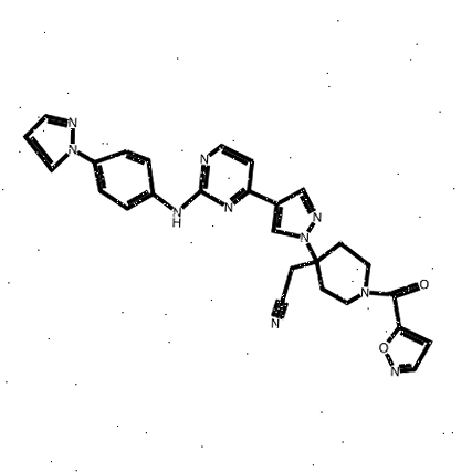 N#CCC1(n2cc(-c3ccnc(Nc4ccc(-n5cccn5)cc4)n3)cn2)CCN(C(=O)c2ccno2)CC1